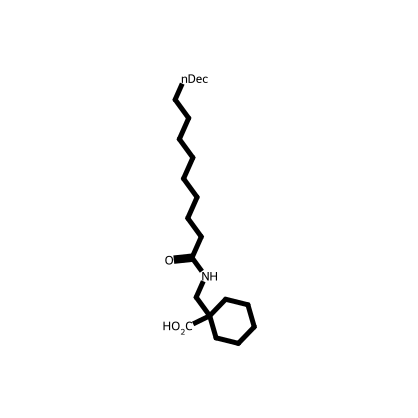 CCCCCCCCCCCCCCCCCCC(=O)NCC1(C(=O)O)CCCCC1